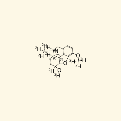 [2H]OC1([2H])C=C[C@@]2([2H])[C@H]3Cc4ccc(OC([2H])([2H])[2H])c5c4[C@@]2(CCN3C([2H])([2H])[2H])C1O5